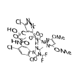 COc1cc(OC)nc(NC(=O)NS(=O)(=O)c2c(C(=O)O)c(Cl)nn2C)n1.Cc1nn(-c2cc(NS(C)(=O)=O)c(Cl)cc2Cl)c(=O)n1C(F)F